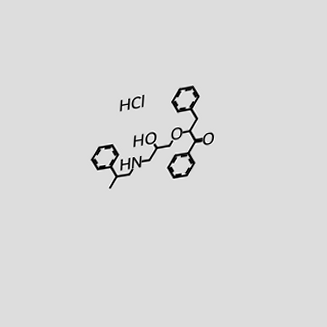 CC(CNCC(O)COC(Cc1ccccc1)C(=O)c1ccccc1)c1ccccc1.Cl